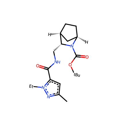 CCn1nc(C)cc1C(=O)NC[C@@H]1[C@H]2CC[C@H](C2)N1C(=O)OC(C)(C)C